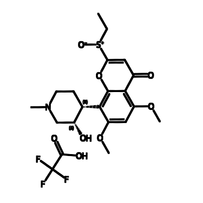 CC[S+]([O-])c1cc(=O)c2c(OC)cc(OC)c([C@H]3CCN(C)C[C@H]3O)c2o1.O=C(O)C(F)(F)F